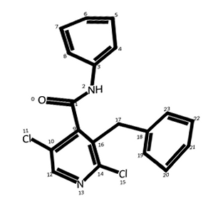 O=C(Nc1ccccc1)c1c(Cl)cnc(Cl)c1Cc1ccccc1